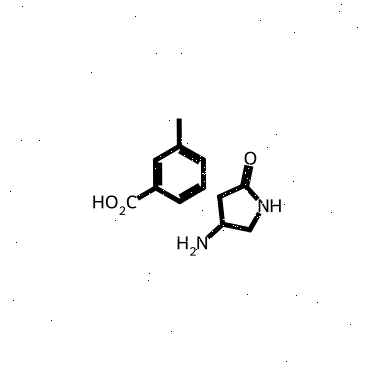 Cc1cccc(C(=O)O)c1.NC1CNC(=O)C1